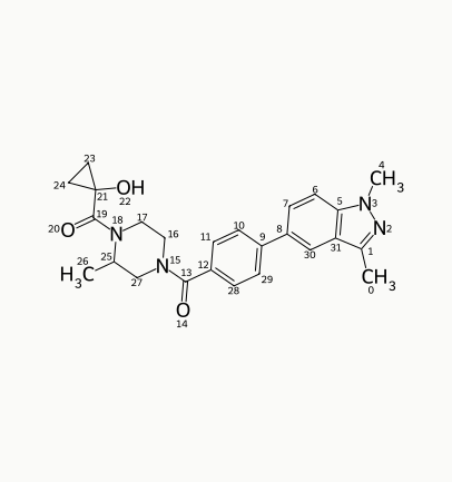 Cc1nn(C)c2ccc(-c3ccc(C(=O)N4CCN(C(=O)C5(O)CC5)C(C)C4)cc3)cc12